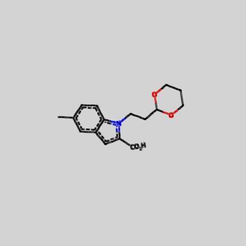 Cc1ccc2c(c1)cc(C(=O)O)n2CCC1OCCCO1